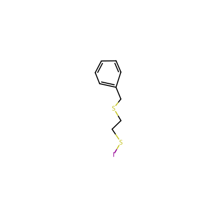 ISCCSCc1ccccc1